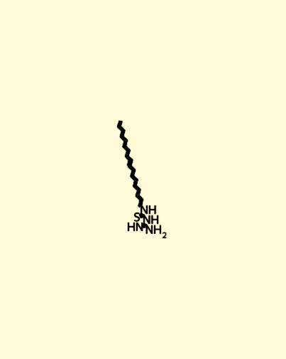 CCCCCCCC/C=C/CCCCCCCCNC(=S)NC(=N)N